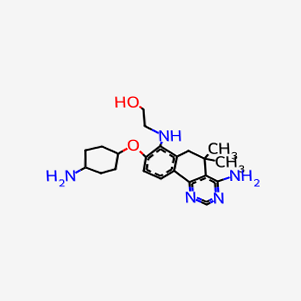 CC1(C)Cc2c(ccc(OC3CCC(N)CC3)c2NCCO)-c2ncnc(N)c21